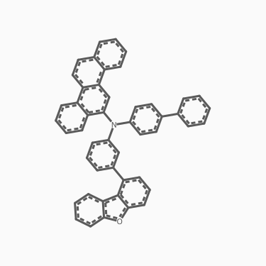 c1ccc(-c2ccc(N(c3cccc(-c4cccc5oc6ccccc6c45)c3)c3cc4c5ccccc5ccc4c4ccccc34)cc2)cc1